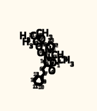 CCOC(=O)C(CCc1ccccc1)CN(CC)C(=O)N1CCC[C@H]1C(=O)OC(C)(C)C